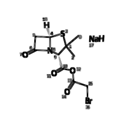 CC1(C)S[C@@H]2CC(=O)N2[C@H]1C(=O)OC(=O)CBr.[NaH]